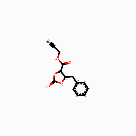 C#CCOC(=O)C1OC(=O)OC1Cc1ccccc1